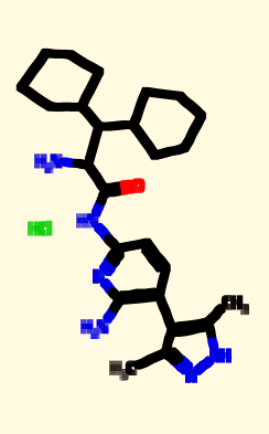 Cc1n[nH]c(C)c1-c1ccc(NC(=O)C(N)C(C2CCCCC2)C2CCCCC2)nc1N.Cl